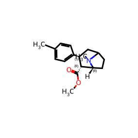 COC(=O)[C@@H]1[C@@H](c2ccc(C)cc2)CC2CC[C@H]1N2C